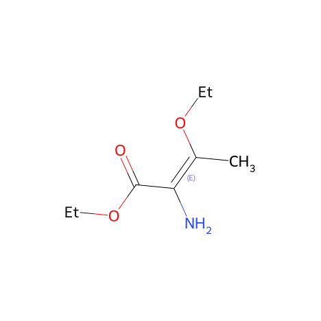 CCOC(=O)/C(N)=C(/C)OCC